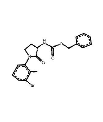 Cc1c(Br)cccc1N1CCC(NC(=O)OCc2ccccc2)C1=O